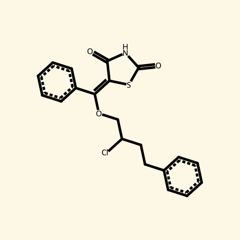 O=C1NC(=O)C(=C(OCC(Cl)CCc2ccccc2)c2ccccc2)S1